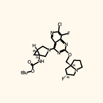 CC(C)(C)OC(=O)N[C@@]12C[C@@H]1CN(c1nc(OC[C@@]34CCCN3C[C@H](F)C4)nc3c(F)c(Cl)ncc13)C2